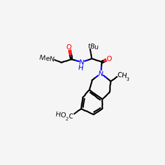 CNCC(=O)NC(C(=O)N1Cc2cc(C(=O)O)ccc2CC1C)C(C)(C)C